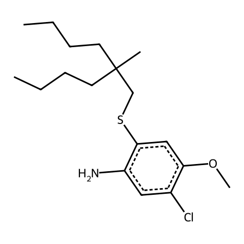 CCCCC(C)(CCCC)CSc1cc(OC)c(Cl)cc1N